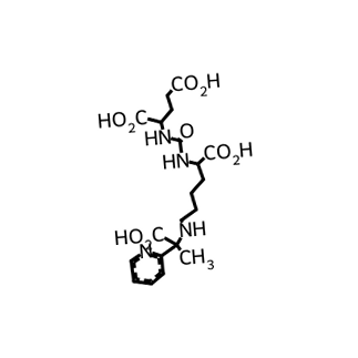 CC(NCCCCC(NC(=O)NC(CCC(=O)O)C(=O)O)C(=O)O)(C(=O)O)c1ccccn1